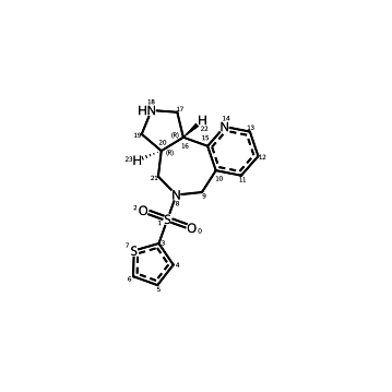 O=S(=O)(c1cccs1)N1Cc2cccnc2[C@H]2CNC[C@@H]2C1